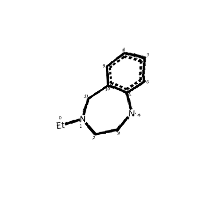 CCN1CC[N]c2ccccc2C1